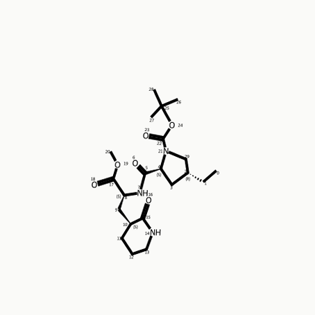 CC[C@@H]1C[C@@H](C(=O)N[C@@H](C[C@@H]2CCCNC2=O)C(=O)OC)N(C(=O)OC(C)(C)C)C1